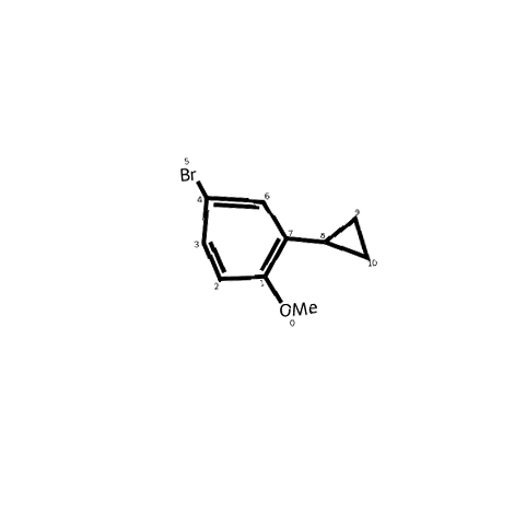 COc1ccc(Br)cc1C1CC1